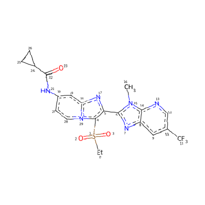 CCS(=O)(=O)c1c(-c2nc3cc(C(F)(F)F)cnc3n2C)nc2cc(NC(=O)C3CC3)ccn12